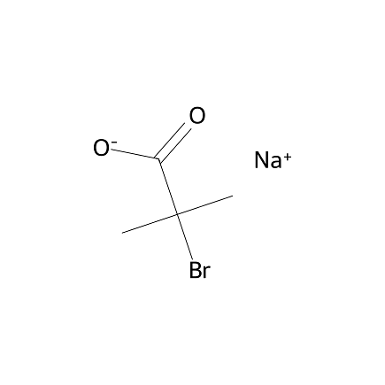 CC(C)(Br)C(=O)[O-].[Na+]